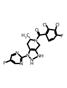 C[C@H]1CC2=C(CN1C(=O)c1ccc(F)c(Cl)c1Cl)NNN2c1ncc(F)cn1